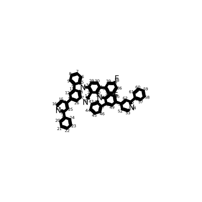 N#Cc1c(-n2c3ccccc3c3cc(-c4ccnc(-c5ccccc5)c4)ccc32)ccc(-c2cc(F)cc(F)c2)c1-n1c2ccccc2c2cc(-c3ccnc(-c4ccccc4)c3)ccc21